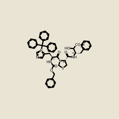 O=C(N[C@@H](Cc1cncn1C(c1ccccc1)(c1ccccc1)c1ccccc1)C(=O)N1CSC[C@H]1C(=O)N[C@@H](Cc1ccccc1)C(O)C(=O)O)OCc1ccccc1